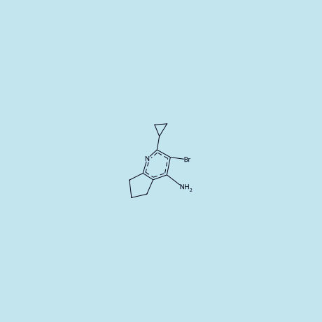 Nc1c(Br)c(C2CC2)nc2c1CCC2